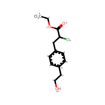 O=C(OCC(Cl)(Cl)Cl)C(Cl)Cc1ccc(CCO)cc1